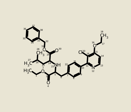 CCOC(=O)C(Cc1ccc(-c2nccc(OCC)c2Cl)cc1)NC(CC(C)C)C(=O)OCc1ccccc1